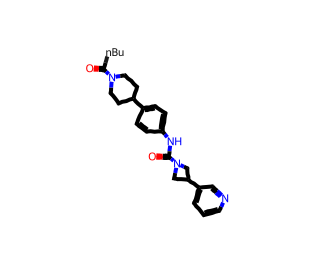 CCCCC(=O)N1CCC(c2ccc(NC(=O)N3CC(c4cccnc4)C3)cc2)CC1